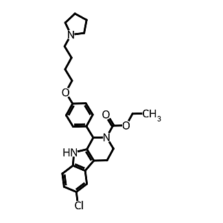 CCOC(=O)N1CCc2c([nH]c3ccc(Cl)cc23)C1c1ccc(OCCCCN2CCCC2)cc1